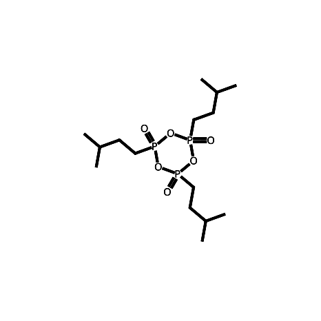 CC(C)CCP1(=O)OP(=O)(CCC(C)C)OP(=O)(CCC(C)C)O1